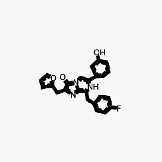 O=c1c(Cc2ccco2)nc2c(Cc3ccc(F)cc3)[nH]c(-c3cccc(O)c3)cn1-2